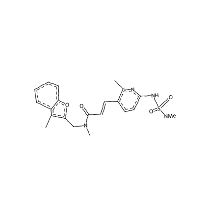 CNS(=O)(=O)Nc1ccc(/C=C/C(=O)N(C)Cc2oc3ccccc3c2C)c(C)n1